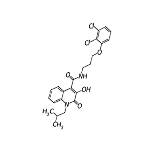 CC(C)Cn1c(=O)c(O)c(C(=O)NCCCOc2cccc(Cl)c2Cl)c2ccccc21